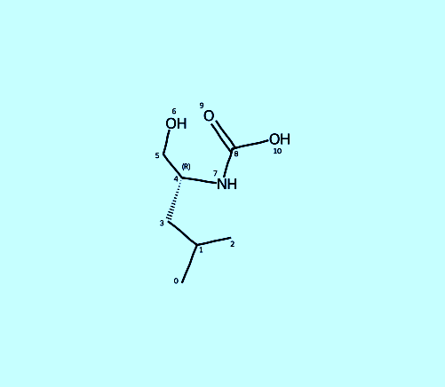 CC(C)C[C@H](CO)NC(=O)O